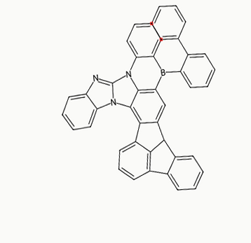 c1ccc(-c2ccccc2B2c3ccccc3-n3c4c2cc2c(c4n4c5ccccc5nc34)-c3cccc4c3C2c2ccccc2-4)cc1